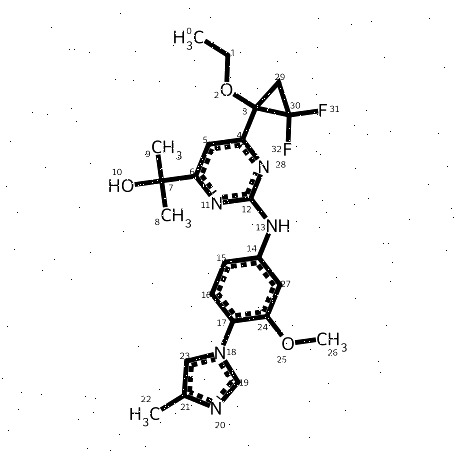 CCOC1(c2cc(C(C)(C)O)nc(Nc3ccc(-n4cnc(C)c4)c(OC)c3)n2)CC1(F)F